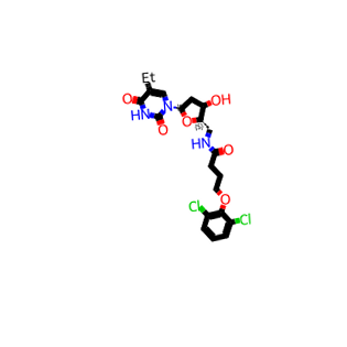 CCc1cn([C@@H]2CC(O)[C@H](CNC(=O)CCCOc3c(Cl)cccc3Cl)O2)c(=O)[nH]c1=O